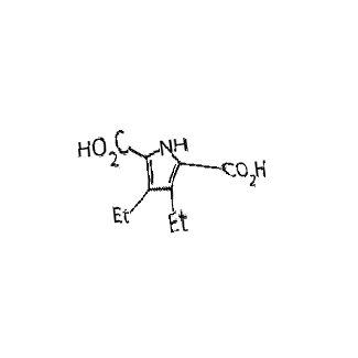 CCc1c(C(=O)O)[nH]c(C(=O)O)c1CC